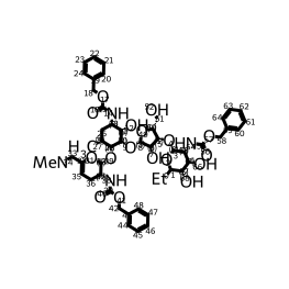 CCC1O[C@H](O[C@H]2[C@@H](O)[C@H](O[C@@H]3[C@@H](O)[C@H](NC(=O)OCc4ccccc4)C[C@H](C)[C@H]3O[C@H]3OC(CNC)=CC[C@H]3NC(=O)OCc3ccccc3)O[C@@H]2CO)[C@H](NC(=O)OCc2ccccc2)[C@@H](O)[C@@H]1O